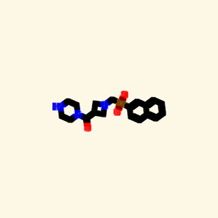 O=C(C1CN(CS(=O)(=O)c2ccc3ccccc3c2)C1)N1CCNCC1